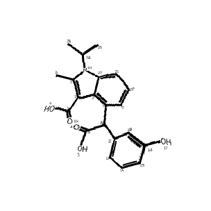 Cc1c(C(=O)O)c2c(C(C(=O)O)c3cccc(O)c3)cccc2n1C(C)C